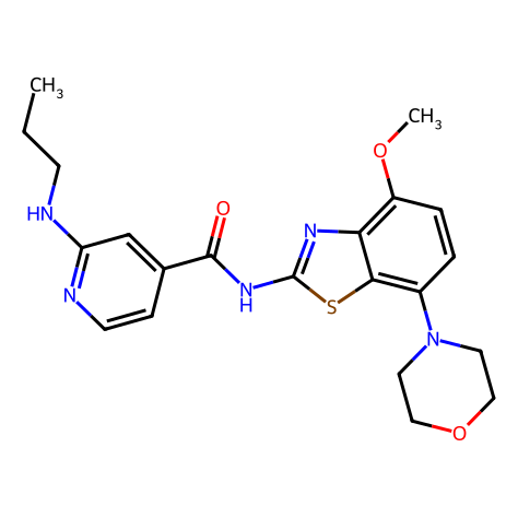 CCCNc1cc(C(=O)Nc2nc3c(OC)ccc(N4CCOCC4)c3s2)ccn1